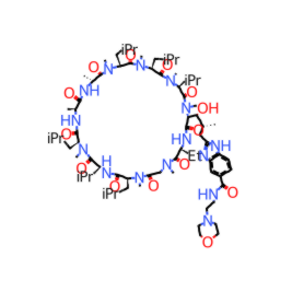 CC[C@@H]1NC(=O)[C@H]([C@H](O)[C@H](C)Cc2nc3cc(C(=O)NCCN4CCOCC4)ccc3[nH]2)N(C)C(=O)[C@H](C(C)C)N(C)C(=O)[C@H](CC(C)C)N(C)C(=O)[C@H](CC(C)C)N(C)C(=O)[C@@H](C)NC(=O)[C@H](C)NC(=O)[C@H](CC(C)C)N(C)C(=O)[C@H](C(C)C)NC(=O)[C@H](CC(C)C)N(C)C(=O)CN(C)C1=O